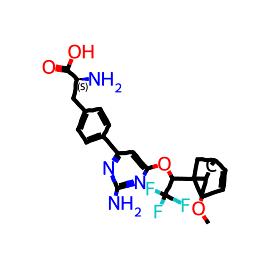 COC12C=CC(CC1)CC2C(Oc1cc(-c2ccc(C[C@H](N)C(=O)O)cc2)nc(N)n1)C(F)(F)F